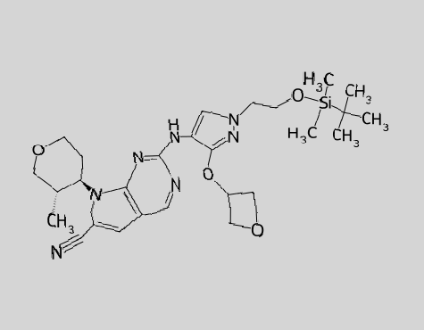 C[C@@H]1COCC[C@H]1n1c(C#N)cc2cnc(Nc3cn(CCO[Si](C)(C)C(C)(C)C)nc3OC3COC3)nc21